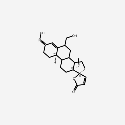 CC[C@]12CCC3C(CC(CO)C4=CC(=NO)CC[C@@H]43)C1CC[C@@]21C=CC(=O)O1